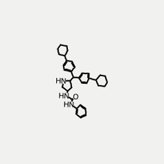 O=C(Nc1ccccc1)NC1CNC(C(c2ccc(C3CCCCC3)cc2)c2ccc(C3CCCCC3)cc2)C1